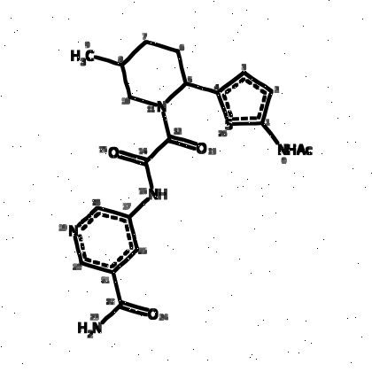 CC(=O)Nc1ccc(C2CCC(C)CN2C(=O)C(=O)Nc2cncc(C(N)=O)c2)s1